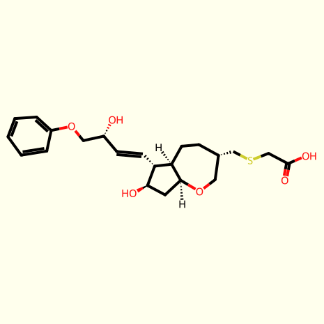 O=C(O)CSC[C@H]1CC[C@@H]2[C@@H](C=C[C@@H](O)COc3ccccc3)[C@H](O)C[C@@H]2OC1